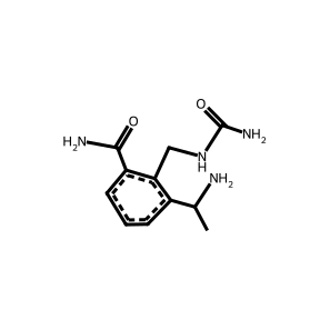 CC(N)c1cccc(C(N)=O)c1CNC(N)=O